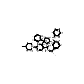 CC1CCN(c2ncc(C(=O)N[C@@H](C)c3cccc(Oc4ccncc4)c3)c(C3(c4ccccc4)CCCC3)n2)CC1